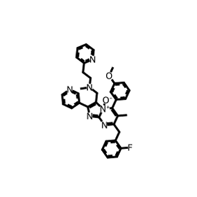 COc1cccc(C2=C(C)C(Cc3ccccc3F)=NC3=NC(c4cccnc4)=C(CN(C)CCc4ccccn4)[N+]32[O-])c1